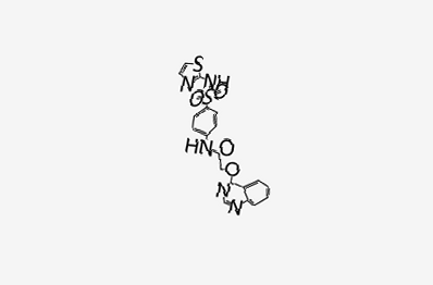 O=C(COc1ncnc2ccccc12)Nc1ccc(S(=O)(=O)Nc2nccs2)cc1